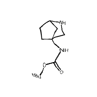 CC(C)(C)OC(=O)NC12CCC(C1)NC2